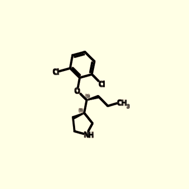 CCC[C@H](Oc1c(Cl)cccc1Cl)[C@@H]1CCNC1